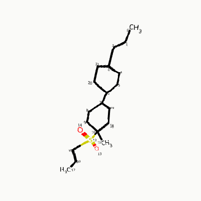 CCCC1CCC(C2CCC(C)(S(=O)(=O)CCC)CC2)CC1